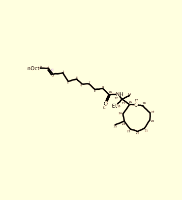 CCCCCCCC/C=C/CCCCCCCC(=O)NC(C)(CC)C1CCCCCCCC(C)C1